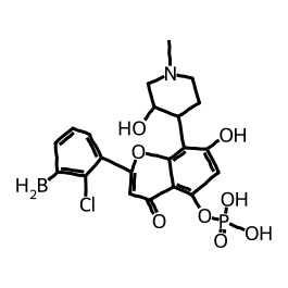 Bc1cccc(-c2cc(=O)c3c(OP(=O)(O)O)cc(O)c(C4CCN(C)CC4O)c3o2)c1Cl